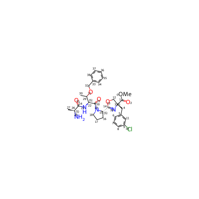 COC(=O)[C@@]1(Cc2cccc(Cl)c2)COC([C@@H]2CCCN2C(=O)[C@@H](NC(=O)[C@H](C)N)C(C)OCc2ccccc2)=N1